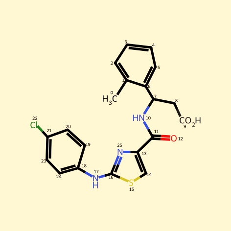 Cc1ccccc1C(CC(=O)O)NC(=O)c1csc(Nc2ccc(Cl)cc2)n1